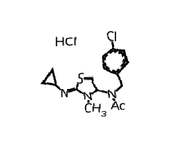 CC(=O)N(Cc1ccc(Cl)cc1)C1CSC(=NC2CC2)N1C.Cl